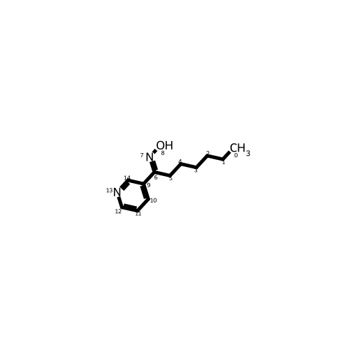 CCCCCCC(=NO)c1cccnc1